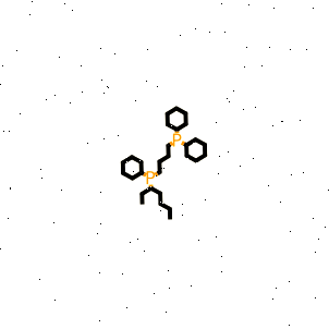 CCCCC(CC)P(CCCCP(C1CCCCC1)C1CCCCC1)C1CCCCC1